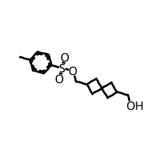 Cc1ccc(S(=O)(=O)OCC2CC3(CC(CO)C3)C2)cc1